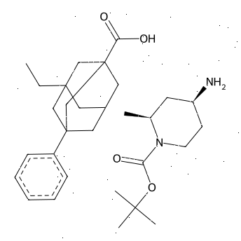 CCC12CC3CC(C(=O)O)(C1)CC(c1ccccc1)(C3)C2.C[C@H]1C[C@@H](N)CCN1C(=O)OC(C)(C)C